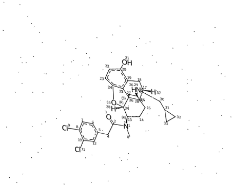 CN(C(=O)Cc1ccc(Cl)c(Cl)c1)[C@@H]1CC[C@H]2[C@H]3Cc4c(O)ccc5c4[C@@]2(CCN3CC2CC2)[C@H]1O5